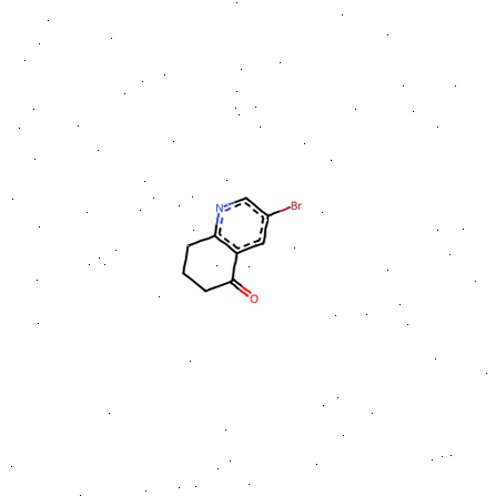 O=C1CCCc2ncc(Br)cc21